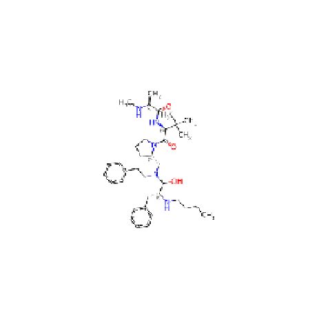 CCCCN[C@H](Cc1ccccc1)C(O)N(CCc1ccccc1)C[C@@H]1CCCN1C(=O)[C@@H](NC(=O)[C@H](C)NC)C(C)(C)C